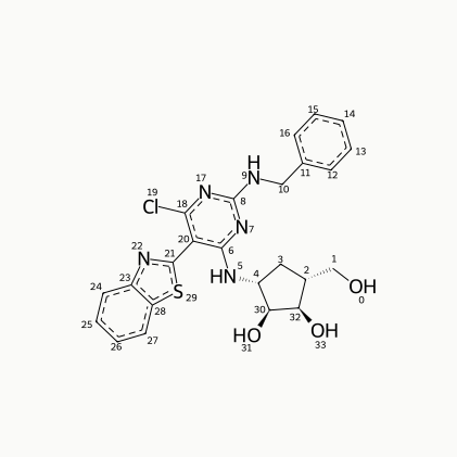 OC[C@H]1C[C@@H](Nc2nc(NCc3ccccc3)nc(Cl)c2-c2nc3ccccc3s2)[C@H](O)[C@@H]1O